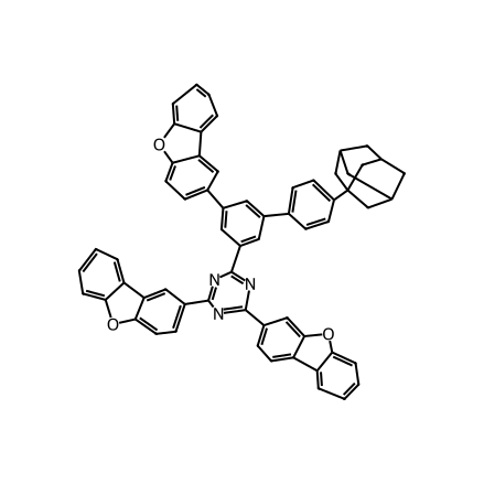 c1ccc2c(c1)oc1cc(-c3nc(-c4cc(-c5ccc(C67CC8CC(CC(C8)C6)C7)cc5)cc(-c5ccc6oc7ccccc7c6c5)c4)nc(-c4ccc5oc6ccccc6c5c4)n3)ccc12